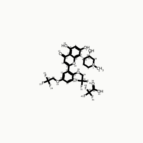 CN1CC[C@H](c2c(O)cc(O)c3c(=O)cc(-c4cc(OCC(F)(F)F)ccc4OCC(F)(F)F)oc23)[C@H](O)C1.O=C(O)C(F)(F)F